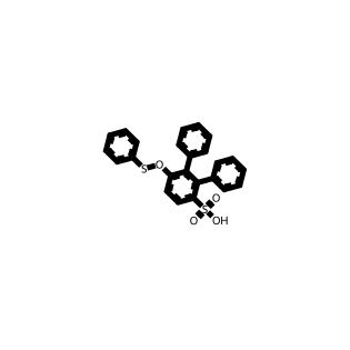 O=S(=O)(O)c1ccc(OSc2ccccc2)c(-c2ccccc2)c1-c1ccccc1